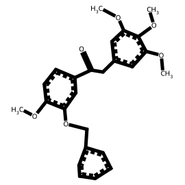 COc1ccc(C(=O)Cc2cc(OC)c(OC)c(OC)c2)cc1OCc1ccccc1